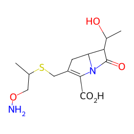 CC(CON)SCC1=C(C(=O)O)N2C(=O)C(C(C)O)C2C1